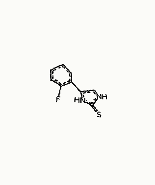 Fc1ccccc1-c1c[nH]c(=S)[nH]1